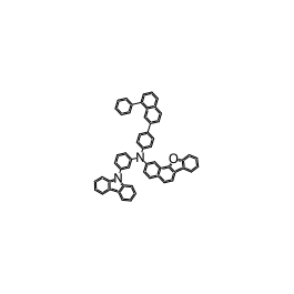 c1ccc(-c2cccc3ccc(-c4ccc(N(c5cccc(-n6c7ccccc7c7ccccc76)c5)c5ccc6ccc7c8ccccc8oc7c6c5)cc4)cc23)cc1